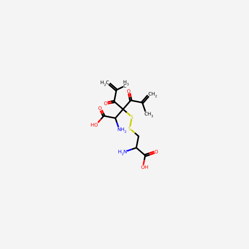 C=C(C)C(=O)C(SSCC(N)C(=O)O)(C(=O)C(=C)C)C(N)C(=O)O